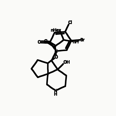 CCCCCCC(CCC)C(=O)OC1CCCC12CNCCC2(O)Cn1cc(Br)c(Cl)cc1=O